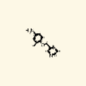 Cc1cc(N)ccc1OCc1cnccn1